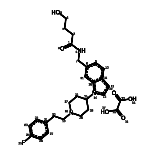 O=C(CCCO)NCc1ccc2ccn(C3CCN(CCc4ccc(F)cc4)CC3)c2c1.O=C(O)C(=O)O